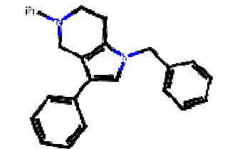 CC(C)N1CCc2c(c(-c3ccccc3)cn2Cc2ccccc2)C1